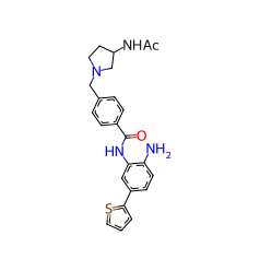 CC(=O)NC1CCN(Cc2ccc(C(=O)Nc3cc(-c4cccs4)ccc3N)cc2)C1